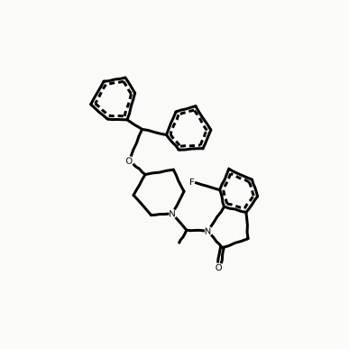 CC(N1CCC(OC(c2ccccc2)c2ccccc2)CC1)N1C(=O)Cc2cccc(F)c21